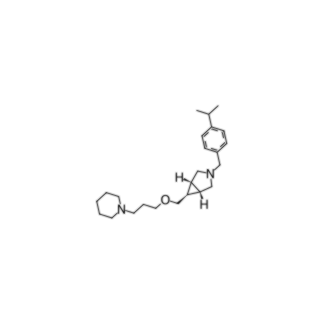 CC(C)c1ccc(CN2C[C@@H]3[C@@H](COCCCN4CCCCC4)[C@@H]3C2)cc1